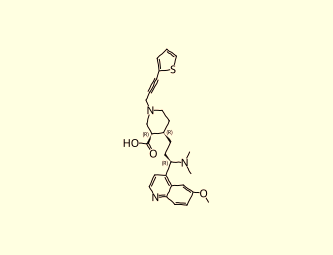 COc1ccc2nccc([C@@H](CC[C@@H]3CCN(CC#Cc4cccs4)C[C@@H]3C(=O)O)N(C)C)c2c1